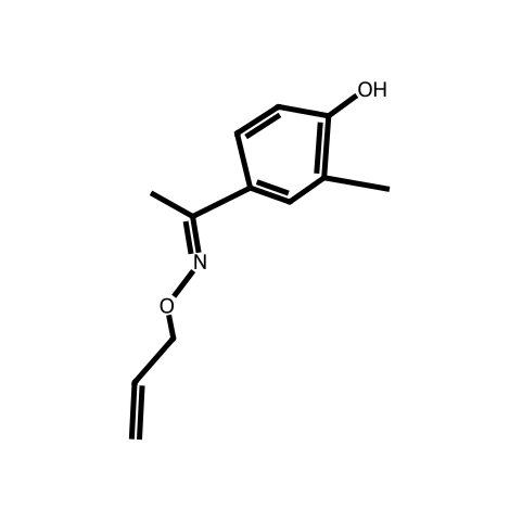 C=CCON=C(C)c1ccc(O)c(C)c1